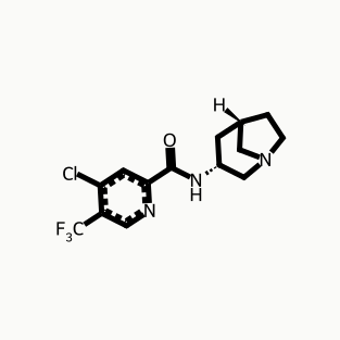 O=C(N[C@@H]1C[C@@H]2CCN(C2)C1)c1cc(Cl)c(C(F)(F)F)cn1